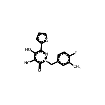 Cc1cc(Cn2nc(-c3cccs3)c(O)c(C#N)c2=O)ccc1F